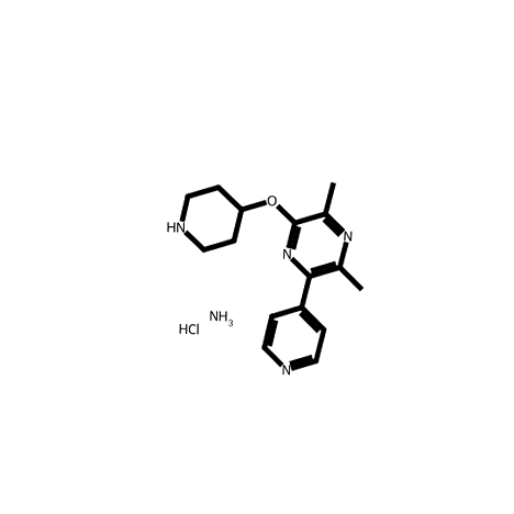 Cc1nc(C)c(-c2ccncc2)nc1OC1CCNCC1.Cl.N